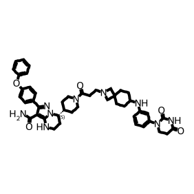 NC(=O)c1c(-c2ccc(Oc3ccccc3)cc2)nn2c1NCC[C@H]2C1CCN(C(=O)CCN2CC3(CCC(Nc4cccc(N5CCC(=O)NC5=O)c4)CC3)C2)CC1